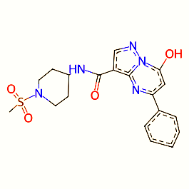 CS(=O)(=O)N1CCC(NC(=O)c2cnn3c(O)cc(-c4ccccc4)nc23)CC1